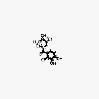 CC[C@H](CN(CC)C(=O)c1ccc(O)c(O)c1Cl)N(C)C